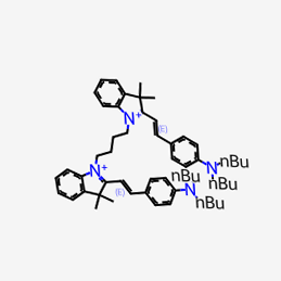 CCCCN(CCCC)c1ccc(/C=C/C2=[N+](CCCC[N+]3=C(/C=C/c4ccc(N(CCCC)CCCC)cc4)C(C)(C)c4ccccc43)c3ccccc3C2(C)C)cc1